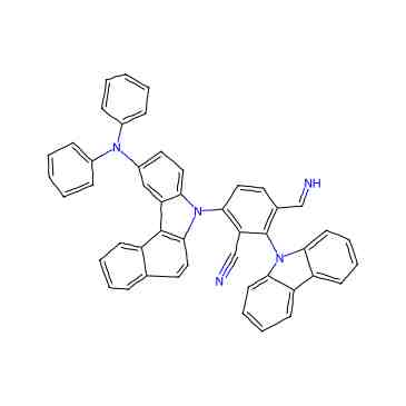 N#Cc1c(-n2c3ccc(N(c4ccccc4)c4ccccc4)cc3c3c4ccccc4ccc32)ccc(C=N)c1-n1c2ccccc2c2ccccc21